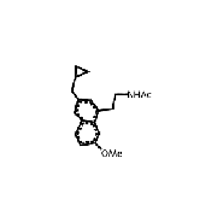 COc1ccc2cc(CC3CC3)cc(CCNC(C)=O)c2c1